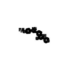 O=c1cc(N2CCOCC2)[nH]c2ccc(-c3cn(-c4ccc(OC(F)(F)F)cc4)nn3)cc12